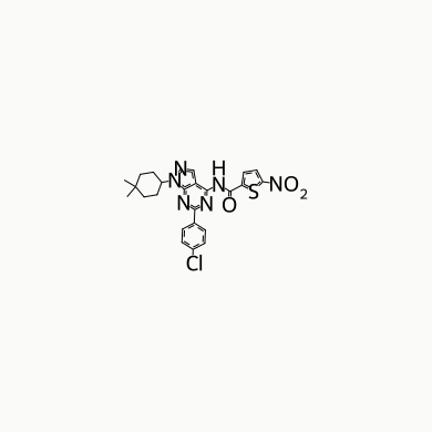 CC1(C)CCC(n2ncc3c(NC(=O)c4ccc([N+](=O)[O-])s4)nc(-c4ccc(Cl)cc4)nc32)CC1